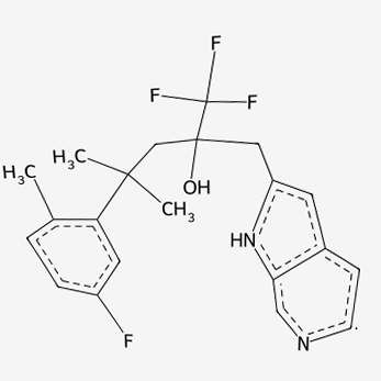 Cc1ccc(F)cc1C(C)(C)CC(O)(Cc1cc2c[c]ncc2[nH]1)C(F)(F)F